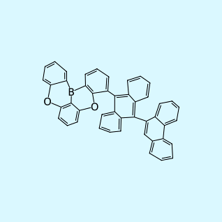 c1ccc2c(c1)Oc1cccc3c1B2c1cccc(-c2c4ccccc4c(-c4cc5ccccc5c5ccccc45)c4ccccc24)c1O3